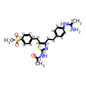 C=C(N)Nc1ccc(CCc2nc(NC(C)=O)sc2Cc2ccc(S(C)(=O)=O)cc2)cc1